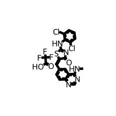 CNc1ncnc2ccc(C=C3SC(Nc4c(Cl)cccc4Cl)=NC3=O)cc12.O=C(O)C(F)(F)F